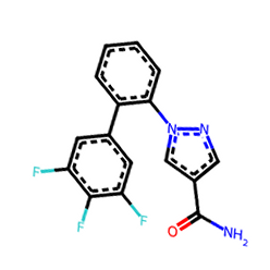 NC(=O)c1cnn(-c2ccccc2-c2cc(F)c(F)c(F)c2)c1